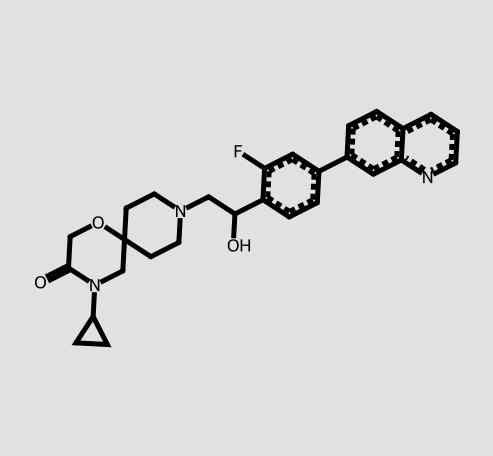 O=C1COC2(CCN(CC(O)c3ccc(-c4ccc5cccnc5c4)cc3F)CC2)CN1C1CC1